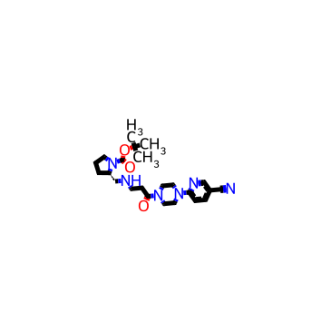 CC(C)(C)OC(=O)N1CCC[C@H]1CNCCC(=O)N1CCN(c2ccc(C#N)cn2)CC1